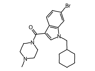 CN1CCN(C(=O)c2cn(CC3CCCCC3)c3cc(Br)ccc23)CC1